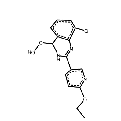 CCOc1ccc(C2=Nc3c(Cl)cccc3C(OO)N2)cn1